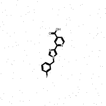 O=C(O)c1ccnc(-c2cn(Cc3cccc(F)c3)cn2)c1